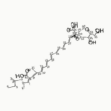 CCC(C)CC(C)/C=C(/C=C(C)/C=C/C=C/C=C/C=C/C=C/C=C/C1=C(C(=O)O)C2COC(CO)C(O)C(O1)C2O)C(=O)O